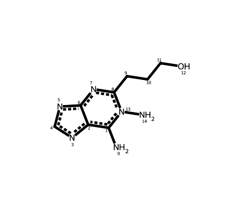 Nc1c2ncnc-2nc(CCCO)n1N